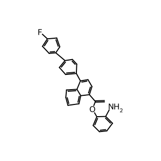 C=C(Oc1ccccc1N)c1ccc(-c2ccc(-c3ccc(F)cc3)cc2)c2ccccc12